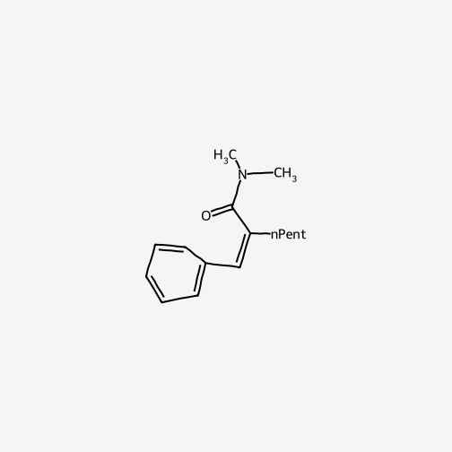 CCCCC/C(=C/c1ccccc1)C(=O)N(C)C